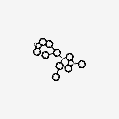 c1ccc(-c2ccc(N(c3ccc(-c4ccc5ccc6oc7ccccc7c6c5c4)c(-c4ccccc4)c3)c3cccc4c3c3ccccc3n4-c3ccccc3)cc2)cc1